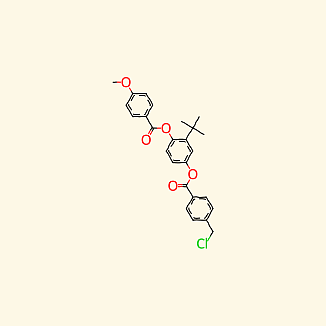 COc1ccc(C(=O)Oc2ccc(OC(=O)c3ccc(CCl)cc3)cc2C(C)(C)C)cc1